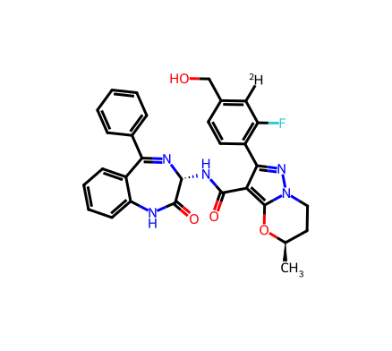 [2H]c1c(CO)ccc(-c2nn3c(c2C(=O)N[C@H]2N=C(c4ccccc4)c4ccccc4NC2=O)O[C@H](C)CC3)c1F